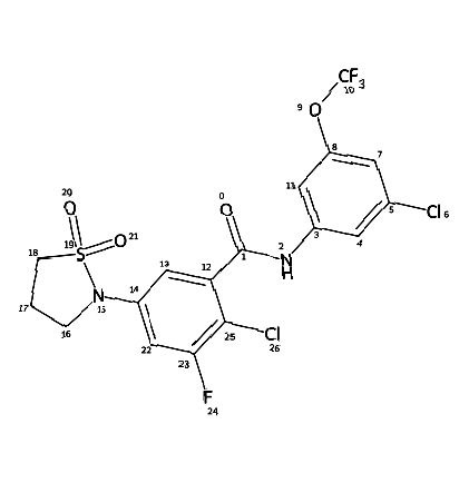 O=C(Nc1cc(Cl)cc(OC(F)(F)F)c1)c1cc(N2CCCS2(=O)=O)cc(F)c1Cl